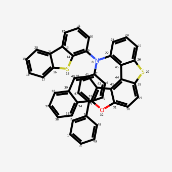 c1ccc(-c2ccc(N(c3cccc4c3sc3ccccc34)c3cccc4sc5ccc6oc7c8ccccc8ccc7c6c5c34)cc2)cc1